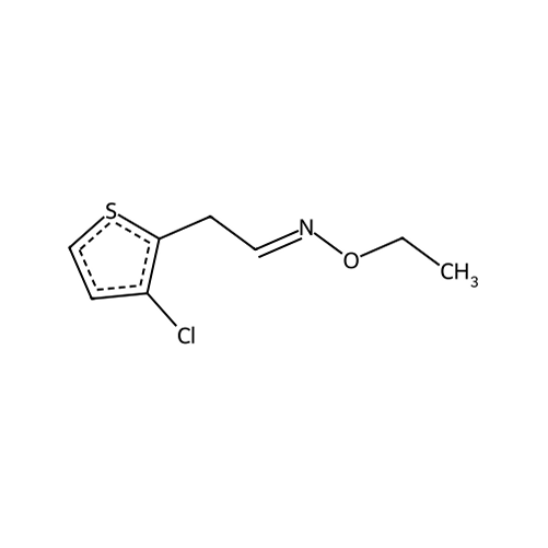 CCON=CCc1sccc1Cl